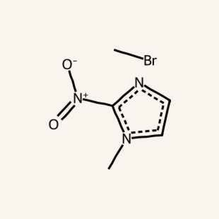 CBr.Cn1ccnc1[N+](=O)[O-]